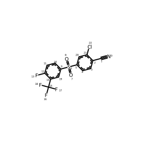 N#Cc1ccc(S(=O)(=O)c2ccc(F)c(C(F)(F)F)c2)cc1Cl